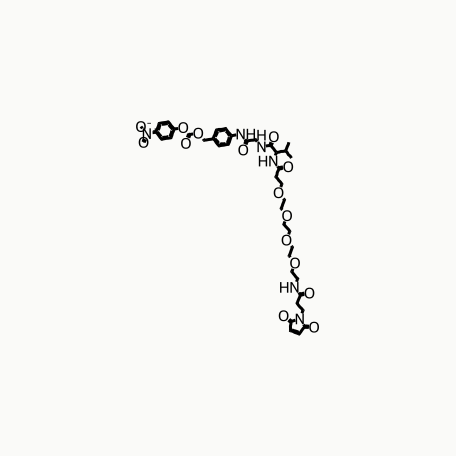 CC(C)C(NC(=O)CCOCCOCCOCCOCCNC(=O)CCN1C(=O)C=CC1=O)C(=O)NCC(=O)Nc1ccc(COC(=O)Oc2ccc([N+](=O)[O-])cc2)cc1